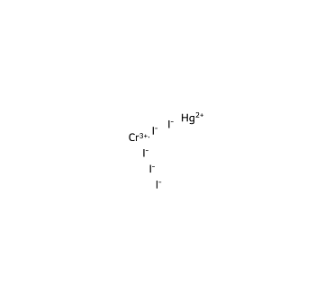 [Cr+3].[Hg+2].[I-].[I-].[I-].[I-].[I-]